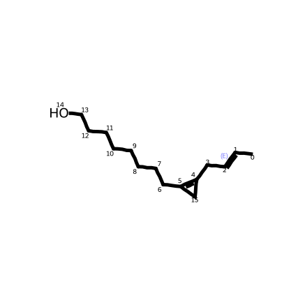 C/C=C/CC1=C(CCCCCCCCO)C1